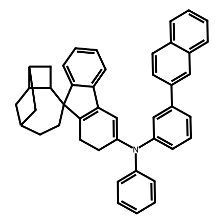 C1=C(N(c2ccccc2)c2cccc(-c3ccc4ccccc4c3)c2)CCC2=C1c1ccccc1C21CCC2CC3CC1C3C2